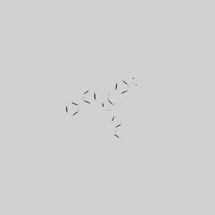 CC(=N)c1csc(-n2nc(-c3cccc(-c4ccccc4)c3)c(Cc3ccc(S(C)(=O)=O)cc3)c2O)n1